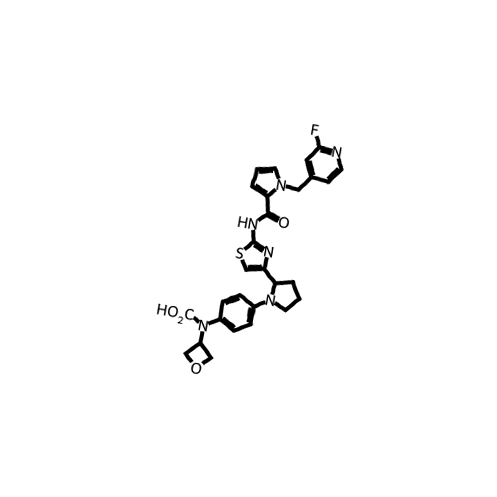 O=C(Nc1nc(C2CCCN2c2ccc(N(C(=O)O)C3COC3)cc2)cs1)c1cccn1Cc1ccnc(F)c1